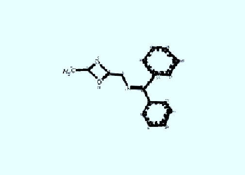 CC1OC(CN=C(c2ccccc2)c2ccccc2)O1